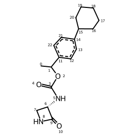 CC(OC(=O)N[C@H]1CNC1=O)c1ccc(C2CCCCC2)cc1